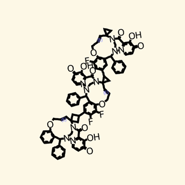 O=C1c2c(O)c(=O)ccn2N2CN1C1(/C=C/COc3ccccc3C2c2ccccc2)CC(c2cc3c(c(F)c2F)OC/C=C/C2(CC2c2cc(F)c4c(c2)C(c2ccccc2)N2CN(C(=O)c5c(O)c(=O)ccn52)C2(/C=C/CO4)CC2)N2CN(C3c3ccccc3)n3ccc(=O)c(O)c3C2=O)C1